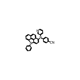 N#Cc1ccc(N(c2cccnc2)c2ccc3c4c2ccc2cccc(c24)n3-c2ccccc2)cc1